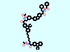 CCC1(CC)c2ccccc2-c2ccc(C(=O)/C(CCCCCCc3ccc4c(c3)-c3ccc(C(=O)/C(CC5CCCC(c6ccc7c(c6)C6C=CC(C(=O)/C(CC8CCCCC8)=N/OC(=O)c8ccccc8)=CC6C7)C5)=N/OC(C)=O)cc3C4(CC)CC)=N/OC(C)=O)cc21